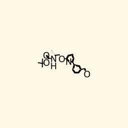 C[C@H](COc1cccc(-c2cccc(C=O)c2)n1)NC(=O)OC(C)(C)C